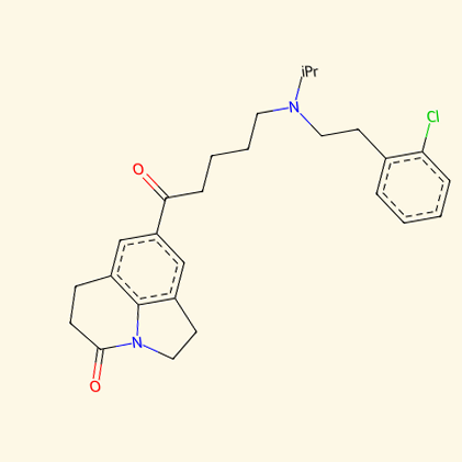 CC(C)N(CCCCC(=O)c1cc2c3c(c1)CCN3C(=O)CC2)CCc1ccccc1Cl